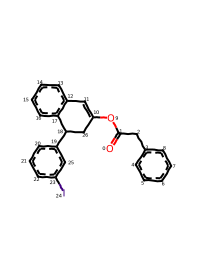 O=C(Cc1ccccc1)OC1=Cc2ccccc2C(c2cccc(I)c2)C1